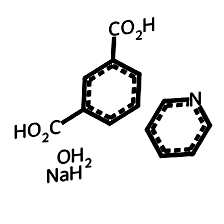 O.O=C(O)c1cccc(C(=O)O)c1.[NaH].c1ccncc1